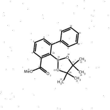 COC(=O)c1cccc(-c2ccccc2)c1B1OC(C)(C)C(C)(C)O1